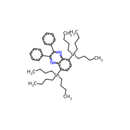 CCC[CH2][Sn]([CH2]CCC)([CH2]CCC)[c]1cc[c]([Sn]([CH2]CCC)([CH2]CCC)[CH2]CCC)c2nc(-c3ccccc3)c(-c3ccccc3)nc12